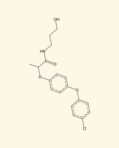 CC(Oc1ccc(Oc2ccc(Cl)cc2)cc1)C(=O)NCCCO